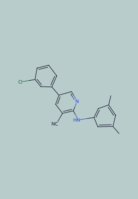 Cc1cc(C)cc(Nc2ncc(-c3cccc(Cl)c3)cc2C#N)c1